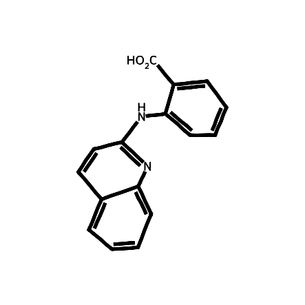 O=C(O)c1ccccc1Nc1ccc2ccccc2n1